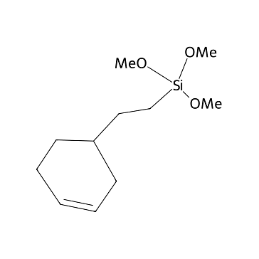 CO[Si](CCC1CC=CCC1)(OC)OC